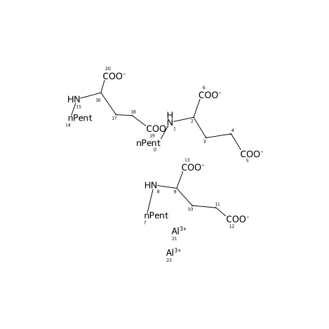 CCCCCNC(CCC(=O)[O-])C(=O)[O-].CCCCCNC(CCC(=O)[O-])C(=O)[O-].CCCCCNC(CCC(=O)[O-])C(=O)[O-].[Al+3].[Al+3]